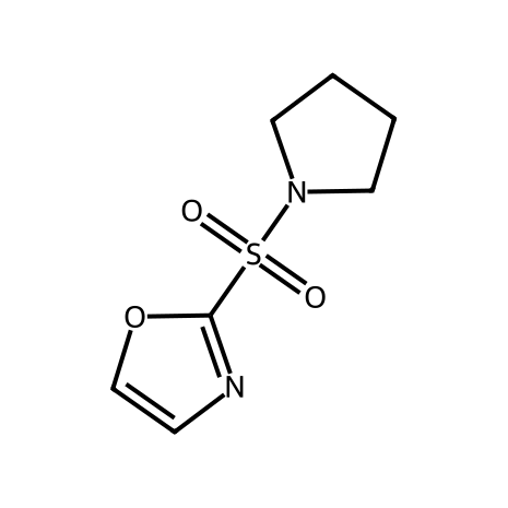 O=S(=O)(c1ncco1)N1CCCC1